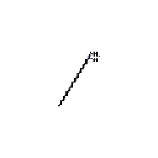 CCCCCCCCCCCCCCCCCCCCC/C(O)=C/N